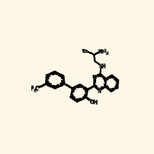 CCC(N)CNc1nc(-c2cc(-c3cccc(C(F)(F)F)c3)ccc2O)nc2ccccc12